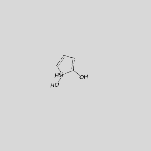 OC1=CC=C[SiH]1O